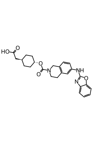 O=C(O)C[C@H]1CC[C@H](OC(=O)N2CCc3cc(Nc4nc5ccccc5o4)ccc3C2)CC1